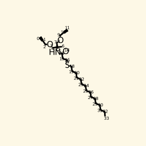 C#CCOCC(C)(COCC#C)NC(=O)CCSCCCCCCCCCCCCCCCC